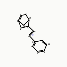 C1=C2CC(/C=C/c3ccccc3)C(C1)C2